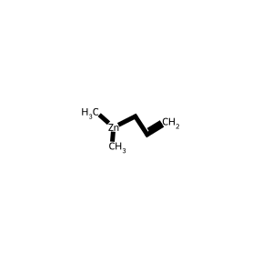 C=C[CH2][Zn]([CH3])[CH3]